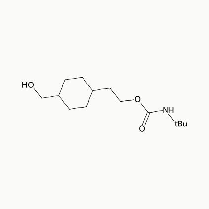 CC(C)(C)NC(=O)OCCC1CCC(CO)CC1